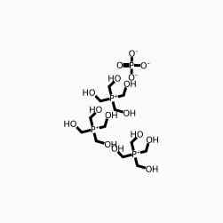 O=P([O-])([O-])[O-].OC[P+](CO)(CO)CO.OC[P+](CO)(CO)CO.OC[P+](CO)(CO)CO